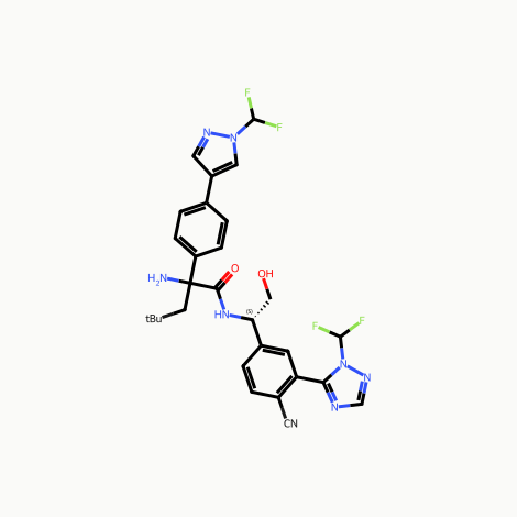 CC(C)(C)CC(N)(C(=O)N[C@H](CO)c1ccc(C#N)c(-c2ncnn2C(F)F)c1)c1ccc(-c2cnn(C(F)F)c2)cc1